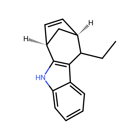 CCC1c2c([nH]c3ccccc23)[C@H]2C=C[C@@H]1C2